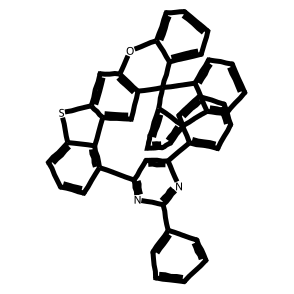 c1ccc(-c2cc(-c3cccc4sc5cc6c(cc5c34)C3(c4ccccc4O6)c4ccccc4-c4ccccc43)nc(-c3ccccc3)n2)cc1